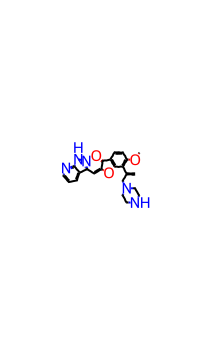 C=C(CN1CCNCC1)c1c(OC)ccc2c1OC(=Cc1n[nH]c3ncccc13)C2=O